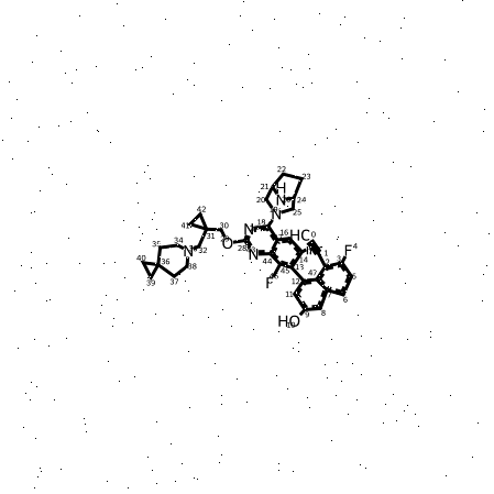 C#Cc1c(F)ccc2cc(O)cc(-c3c(C(C)C)cc4c(N5CC6CCC(C5)N6)nc(OCC5(CN6CCC7(CC6)CC7)CC5)nc4c3F)c12